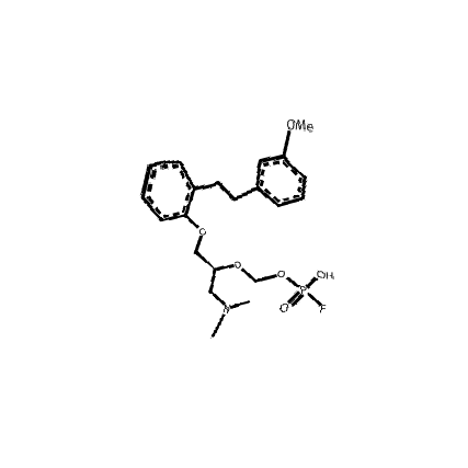 COc1cccc(CCc2ccccc2OC[C@H](CN(C)C)OCOP(=O)(O)F)c1